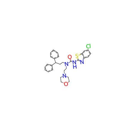 O=C(Nc1nc2ccc(Cl)cc2s1)N(CCC(c1ccccc1)c1ccccc1)CCN1CCOCC1